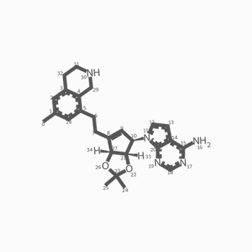 Cc1cc2c(c(CCC3=C[C@@H](n4ccc5c(N)ncnc54)[C@@H]4OC(C)(C)O[C@H]34)c1)CNCC2